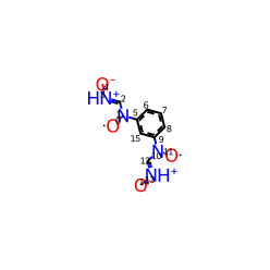 [O]N(C=[NH+][O-])c1cccc(N([O])C=[NH+][O-])c1